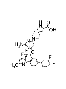 Cc1ccn(-c2ccc(-c3ccc(F)c(F)c3)cc2C(Oc2cc(N3CCC4(CC3)CNC(C(=O)O)C4)nc(N)n2)C(F)(F)F)n1